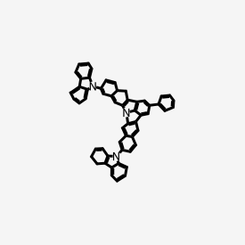 C1=Cc2c(c3ccccc3n2-c2ccc3cc4c5cc(-c6ccccc6)cc6c7c(n(c4cc3c2)c65)C=C2C=C(n3c4ccccc4c4ccccc43)C=CC2C7)CC1